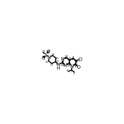 CC(C)n1c(=O)c(Cl)cc2cnc(NC3CCN(S(C)(=O)=O)CC3)nc21